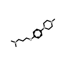 CN(C)CCCOc1ccc(N2CCN(C)CC2)cc1